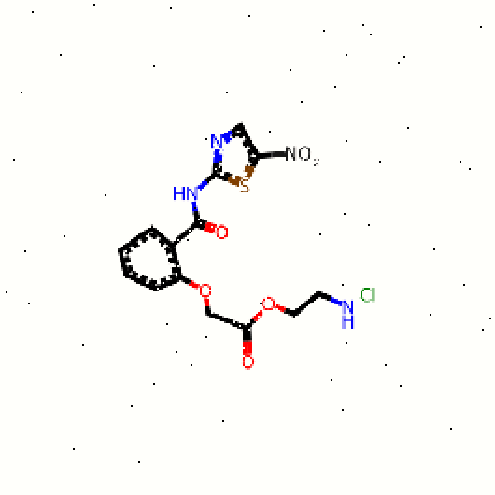 O=C(COc1ccccc1C(=O)Nc1ncc([N+](=O)[O-])s1)OCCNCl